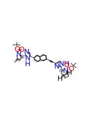 C[C@@H]1C[C@@H](c2ncc(-c3ccc4cc(C#Cc5c[nH]c([C@@H]6C[C@H]7CC[C@H]7N6C(=O)OC(C)(C)C)n5)ccc4c3)[nH]2)N(C(=O)OC(C)(C)C)C1